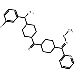 CO/N=C(/c1ccccn1)C1CCN(C(=O)C2CCN([C@H](C)c3cccc(N)c3)CC2)CC1